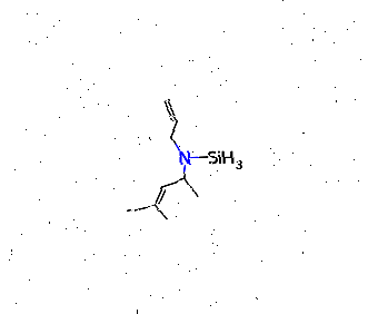 C=CCN([SiH3])C(C)C=C(C)C